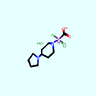 Cl.O=C(O)[PH](Cl)(Cl)N1CCC(N2CCCC2)CC1